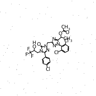 CC(=O)OC(C)c1nc(Cn2nc(-c3ccc(Cl)cc3)n(CC(O)C(F)(F)F)c2=O)nn1-c1c(Cl)cccc1Cl